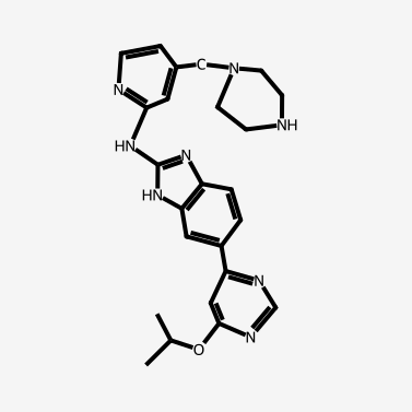 CC(C)Oc1cc(-c2ccc3nc(Nc4cc(CN5CCNCC5)ccn4)[nH]c3c2)ncn1